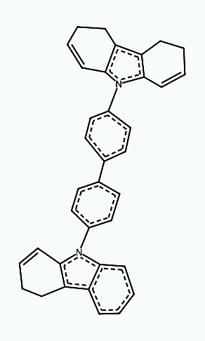 C1=Cc2c(c3c(n2-c2ccc(-c4ccc(-n5c6c(c7ccccc75)CCC=C6)cc4)cc2)C=CCC3)CC1